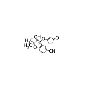 CC1(C)Oc2ccc(C#N)cc2[C@H](OC2=CC(=O)CC2)[C@H]1O